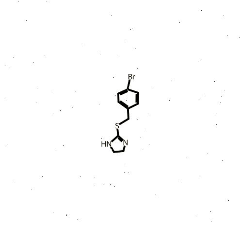 Brc1ccc(CSC2=NCCN2)cc1